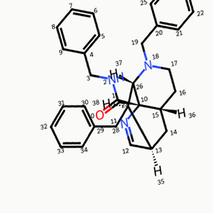 O=C(NCc1ccccc1)[C@]12N=C[C@@H]3C[C@H]1CCN(Cc1ccccc1)[C@H]2[C@@H]3Cc1ccccc1